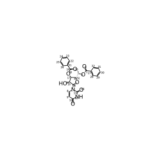 O=C(OC[C@@H]1O[C@H](n2ccc(=O)[nH]c2=O)C(O)C1OC(=O)c1ccccc1)c1ccccc1